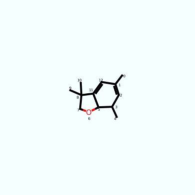 CC1=CC(C)C2OCC(C)(C)C2=C1